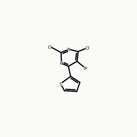 Clc1nc(Cl)c(Br)c(-c2cccs2)n1